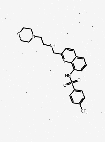 O=S(=O)(Nc1cccc2ccc(CNCCN3CCOCC3)nc12)c1ccc(C(F)(F)F)cc1